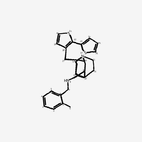 Cc1ccccc1CNC1C2CCN(CC2)C1Cc1ccsc1-c1cccs1